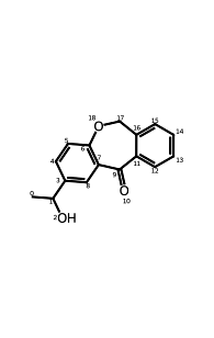 CC(O)c1ccc2c(c1)C(=O)c1ccccc1CO2